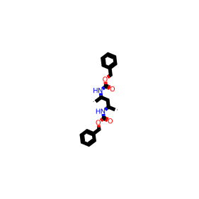 [CH2]C(CC([CH2])NC(=O)OCc1ccccc1)NC(=O)OCc1ccccc1